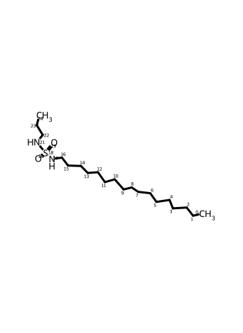 CCCCCCCCCCCCCCCCCNS(=O)(=O)NCCC